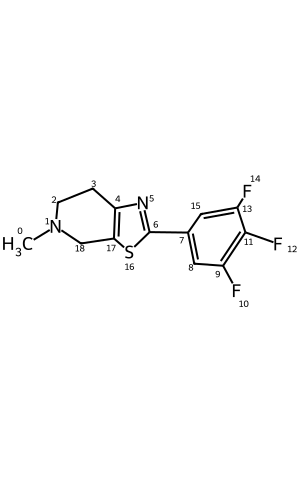 CN1CCc2nc(-c3cc(F)c(F)c(F)c3)sc2C1